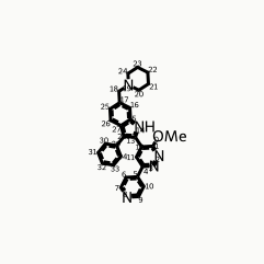 COc1nnc(-c2ccncc2)cc1-c1[nH]c2cc(CN3CCCCC3)ccc2c1-c1ccccc1